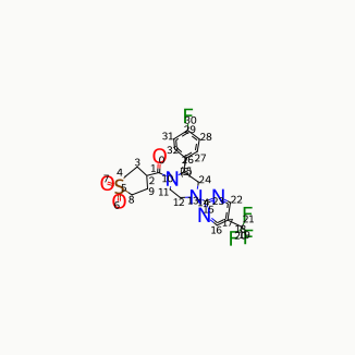 O=C(C1CCS(=O)(=O)CC1)N1CCN(c2ncc(C(F)(F)F)cn2)C[C@@H]1c1ccc(F)cc1